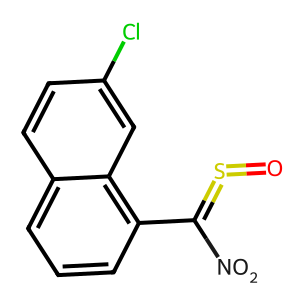 O=S=C(c1cccc2ccc(Cl)cc12)[N+](=O)[O-]